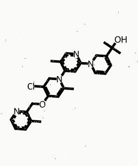 CC1=CC(OCc2ncccc2C)=C(Cl)CN1c1cc(N2C=CC=C(C(C)(C)O)C2)ncc1C